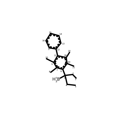 BC(CC)(CC)c1c(C)c(C)c(-c2ccccc2)c(C)c1C